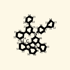 CC1(c2cc(N(c3ccc(-c4ccccc4)cc3)c3cc(-c4ccccc4)cc(-c4ccccc4)c3)cc3c2oc2ccccc23)c2ccccc2-c2ccccc21